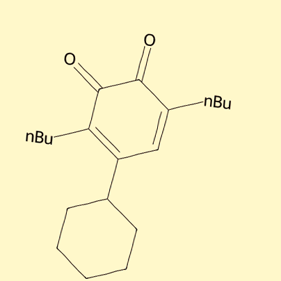 CCCCC1=CC(C2CCCCC2)=C(CCCC)C(=O)C1=O